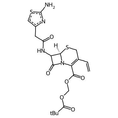 C=CC1=C(C(=O)OCOC(=O)C(C)(C)C)N2C(=O)C(NC(=O)Cc3csc(N)n3)[C@H]2SC1